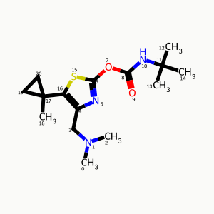 CN(C)Cc1nc(OC(=O)NC(C)(C)C)sc1C1(C)CC1